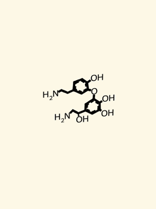 NCCc1ccc(O)c(Oc2cc([C@@H](O)CN)cc(O)c2O)c1